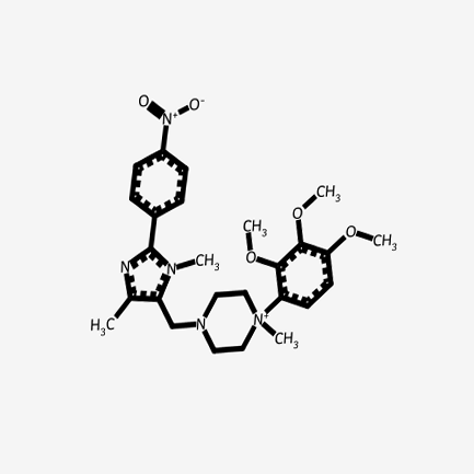 COc1ccc([N+]2(C)CCN(Cc3c(C)nc(-c4ccc([N+](=O)[O-])cc4)n3C)CC2)c(OC)c1OC